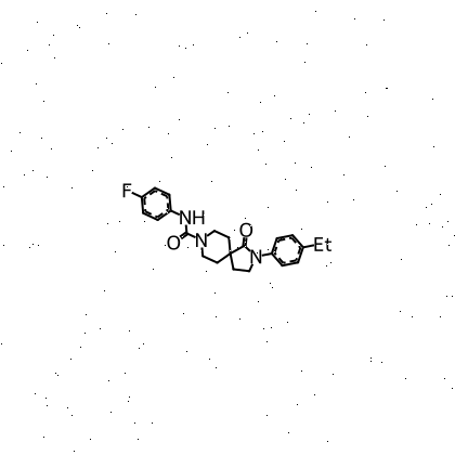 CCc1ccc(N2CCC3(CCN(C(=O)Nc4ccc(F)cc4)CC3)C2=O)cc1